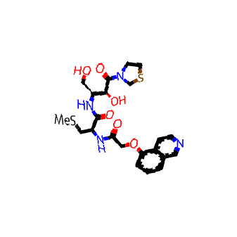 CSCC(NC(=O)COc1cccc2cnccc12)C(=O)N[C@@H](CO)[C@H](O)C(=O)N1CCSC1